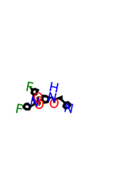 O=C(Nc1ccc(S(=O)(=O)N(Cc2ccc(F)cc2)Cc2cccc(F)c2)cc1)C1CC1c1ccncc1